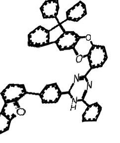 c1ccc(C2=NC(c3cccc4c3Oc3cc5c(cc3O4)C(c3ccccc3)(c3ccccc3)c3ccccc3-5)=NC(c3ccc(-c4cccc5c4oc4ccccc45)cc3)N2)cc1